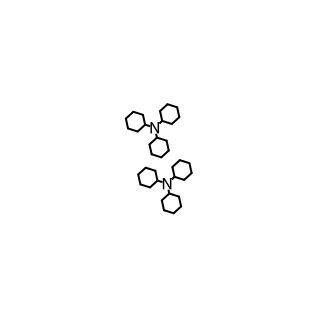 C1CCC(N(C2CCCCC2)C2CCCCC2)CC1.C1CCC(N(C2CCCCC2)C2CCCCC2)CC1